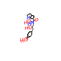 O=C(NC[C@@H](O)Cc1ccc(O)cc1)c1ccc2cccnc2c1O